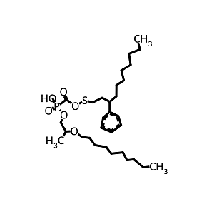 CCCCCCCCCCOC(C)COP(=O)(O)C(=O)OSCCC(CCCCCCCC)c1ccccc1